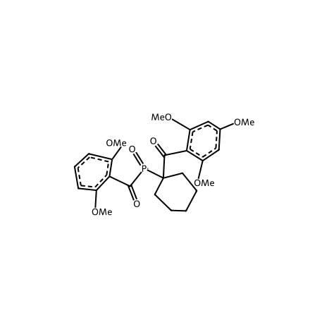 COc1cc(OC)c(C(=O)C2([P](=O)C(=O)c3c(OC)cccc3OC)CCCCC2)c(OC)c1